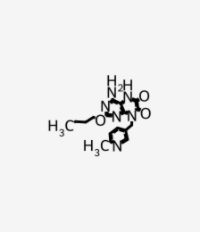 CCCCOc1nc(N)c2[nH]c(=O)c(=O)n(Cc3ccc(C)nc3)c2n1